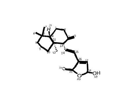 C=C1CC[C@H]2C(C)(C)CCC[C@]2(C)[C@H]1/C=C/C1=CC(O)OC1=O